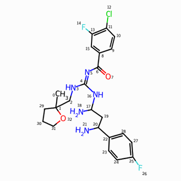 CC1(CN/C(=N/C(=O)c2ccc(Cl)c(F)c2)NC(N)CC(N)c2ccc(F)cc2)CCCO1